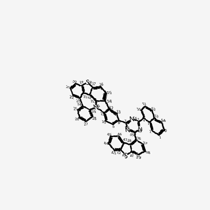 c1ccc2c(-c3nc(-c4ccc5c(c4)c4ccc6sc7cccc8c9ccccc9n5c4c6c78)nc(-c4cccc5sc6ccccc6c45)n3)cccc2c1